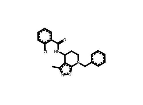 Cc1nsc2c1C(NC(=O)c1ccccc1Cl)CCN2Cc1ccccc1